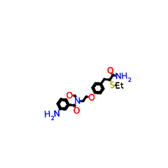 CCSC(Cc1ccc(OCCN2COc3ccc(N)cc3C2=O)cc1)C(N)=O